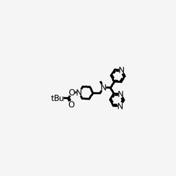 CN(CC1CCN(OC(=O)C(C)(C)C)CC1)C(c1ccncc1)c1ccncn1